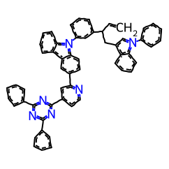 C=CC(Cc1cn(-c2ccccc2)c2ccccc12)c1cccc(-n2c3ccccc3c3cc(-c4cc(-c5nc(-c6ccccc6)nc(-c6ccccc6)n5)ccn4)ccc32)c1